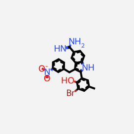 Cc1cc(Br)c(O)c(-c2[nH]c3ccc(C(=N)N)cc3c2Cc2cccc([N+](=O)[O-])c2)c1